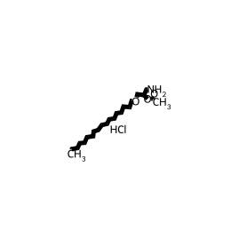 CCCCCCCCCCCCCCCCCCOCC(CN)OC(C)=O.Cl